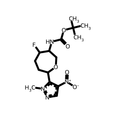 Cn1ncc([N+](=O)[O-])c1C1CCC(F)C(NC(=O)OC(C)(C)C)CO1